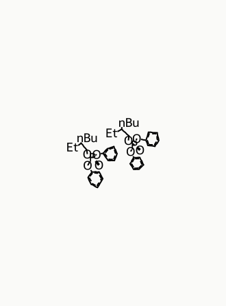 CCCCC(CC)COP(=O)(Oc1ccccc1)Oc1ccccc1.CCCCC(CC)COP(=O)(Oc1ccccc1)Oc1ccccc1